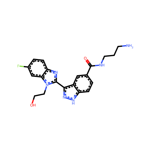 NCCCNC(=O)c1ccc2[nH]nc(-c3nc4ccc(F)cc4n3CCO)c2c1